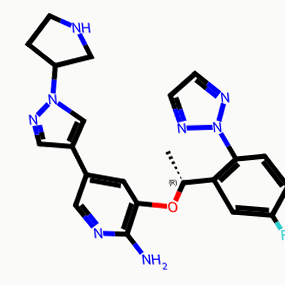 C[C@@H](Oc1cc(-c2cnn(C3CCNC3)c2)cnc1N)c1cc(F)ccc1-n1nccn1